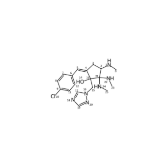 CNC1CC(=Cc2ccc(Cl)cc2)C(O)(Cn2cncn2)C1(NC)NC